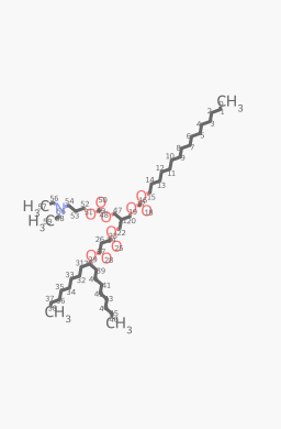 CCCCCCCCCCCCCCCCOC(=O)OCC(COC(=O)CC(=O)OC(CCCCCCCC)CCCCCCCC)COC(=O)OCCCN(CC)CC